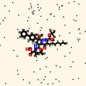 C=CCCCCCC(NC(=O)OC(C)(C)C)C(=O)N1C[C@](OC)(c2ccc(-c3ccccc3)cc2)C[C@H]1C(=O)NC1(C(=O)O)CC1C=C